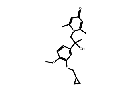 COc1ccc(C(C)(O)Cn2c(C)cc(=O)cc2C)cc1OCC1CC1